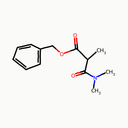 CC(C(=O)OCc1ccccc1)C(=O)N(C)C